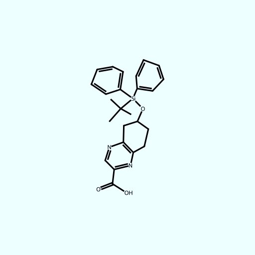 CC(C)(C)[Si](OC1CCc2nc(C(=O)O)cnc2C1)(c1ccccc1)c1ccccc1